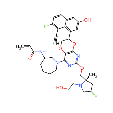 C#Cc1c(F)ccc2cc(O)cc(C3COc4c(nc(OC[C@]5(C)C[C@@H](F)CN5CCO)nc4N4CCCCC(NC(=O)C=C)C4)O3)c12